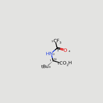 CC(C)(C)[C@H](NC(=O)C(F)(F)F)C(=O)O